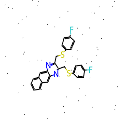 Fc1ccc(SCc2nc3cc4ccccc4cc3nc2CSc2ccc(F)cc2)cc1